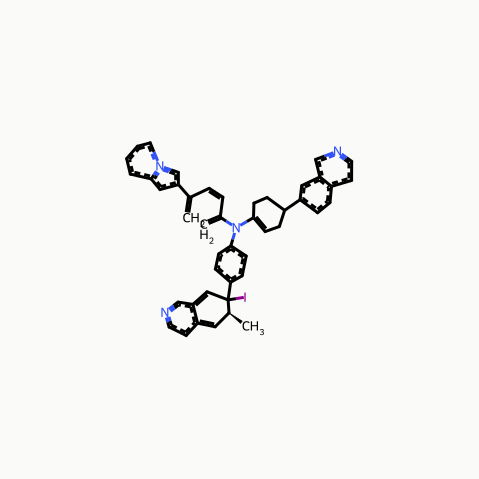 C=C(/C=C\C(=C)N(C1=CCC(c2ccc3ccncc3c2)CC1)c1ccc(C2(I)C=c3cnccc3=C[C@@H]2C)cc1)c1cc2ccccn2c1